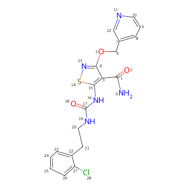 NC(=O)c1c(OCc2cccnc2)nsc1NC(=O)NCCc1ccccc1Cl